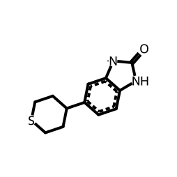 O=C1[N]c2cc(C3CCSCC3)ccc2N1